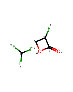 FC(F)F.O=C1OCC1Br